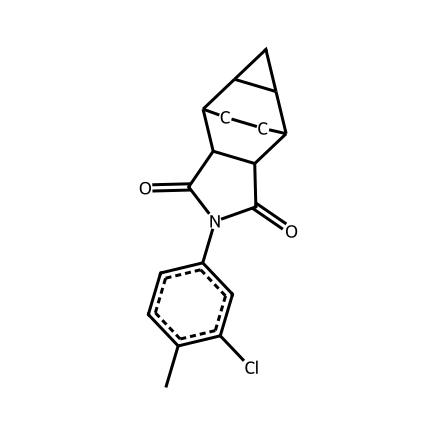 Cc1ccc(N2C(=O)C3C4CCC(C5CC54)C3C2=O)cc1Cl